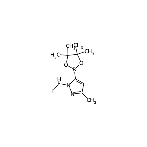 Cc1cc(B2OC(C)(C)C(C)(C)O2)n(PI)n1